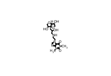 Cn1c(=O)c2c(ncn2CCNCC(O)C[C@]23OC[C@@H](O)[C@H]2OC[C@@H]3O)n(C)c1=O